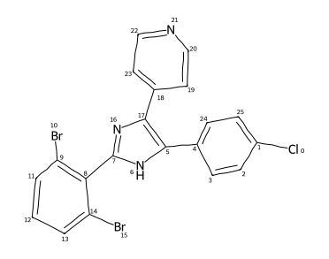 Clc1ccc(-c2[nH]c(-c3c(Br)cccc3Br)nc2-c2ccncc2)cc1